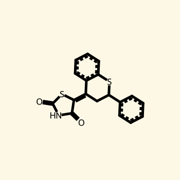 O=C1NC(=O)/C(=C2\CC(c3ccccc3)Sc3ccccc32)S1